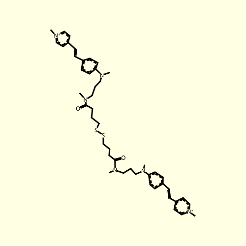 CN(CCCN(C)c1ccc(/C=C/c2cc[n+](C)cc2)cc1)C(=O)CCCSSCCCC(=O)N(C)CCCN(C)c1ccc(/C=C/c2cc[n+](C)cc2)cc1